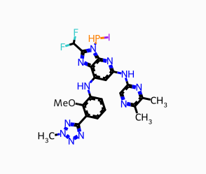 COc1c(Nc2cc(Nc3cnc(C)c(C)n3)nc3c2nc(C(F)F)n3PI)cccc1-c1nnn(C)n1